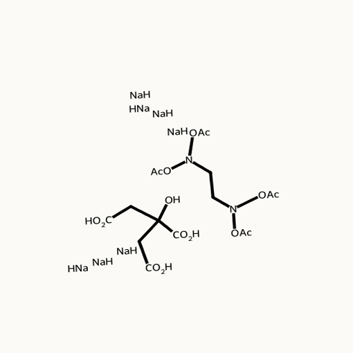 CC(=O)ON(CCN(OC(C)=O)OC(C)=O)OC(C)=O.O=C(O)CC(O)(CC(=O)O)C(=O)O.[NaH].[NaH].[NaH].[NaH].[NaH].[NaH].[NaH]